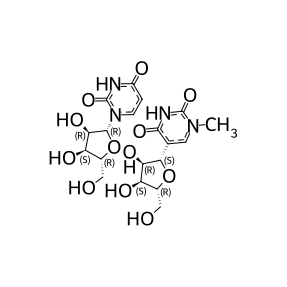 Cn1cc([C@@H]2O[C@H](CO)[C@@H](O)[C@H]2O)c(=O)[nH]c1=O.O=c1ccn([C@@H]2O[C@H](CO)[C@@H](O)[C@H]2O)c(=O)[nH]1